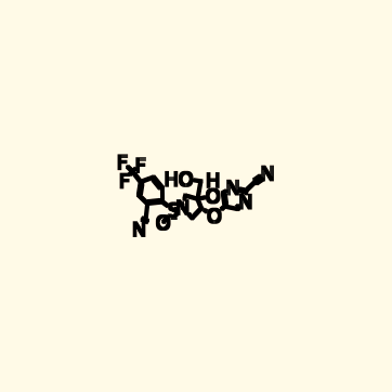 N#Cc1ncc(O[C@H]2CN([S+]([O-])c3ccc(C(F)(F)F)cc3C#N)CC2(O)CO)cn1